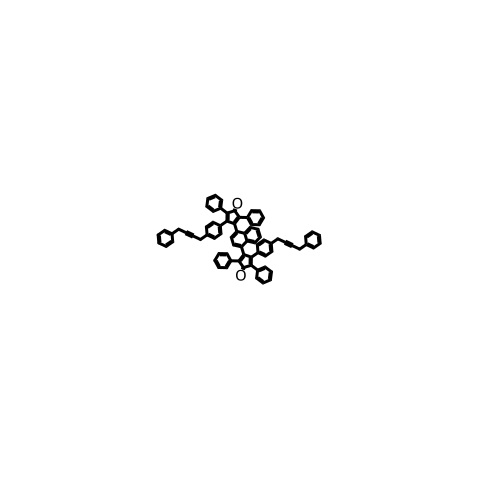 O=C1C(c2ccccc2)=C(c2ccc(CC#CCc3ccccc3)cc2)C(c2ccc(C3=C(c4ccccc4)C(=O)C(c4ccccc4)=C3c3ccc(CC#CCc4ccccc4)cc3)c3ccccc23)=C1c1ccccc1